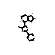 Cc1nc(-c2cccnc2)sc1-c1nccc2sccc12